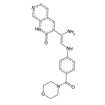 N/C(=C\Nc1ccc(C(=O)N2CCOCC2)cc1)c1cc2ccncc2[nH]c1=O